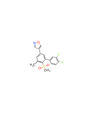 Cc1cc(-c2cnoc2)cc(-c2ccc(F)c(F)c2)c1S(C)(=O)=O